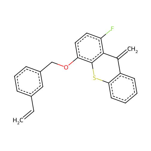 C=Cc1cccc(COc2ccc(F)c3c2Sc2ccccc2C3=C)c1